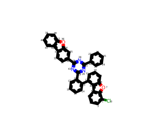 Clc1cccc2c1oc1cccc(-c3ccccc3-c3nc(-c4ccccc4)nc(-c4ccc5c(c4)oc4ccccc45)n3)c12